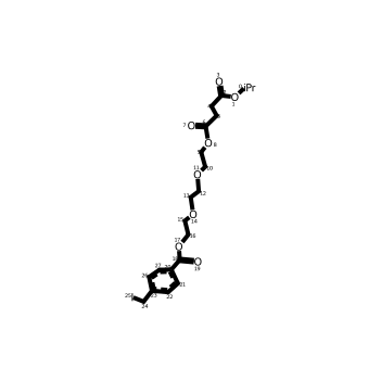 CC(C)OC(=O)CCC(=O)OCCOCCOCCOC(=O)c1ccc(CI)cc1